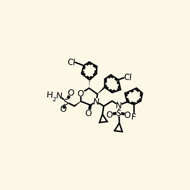 NS(=O)(=O)C[C@H]1O[C@H](c2cccc(Cl)c2)[C@@H](c2ccc(Cl)cc2)N(C(CN(c2ccccc2F)S(=O)(=O)C2CC2)C2CC2)C1=O